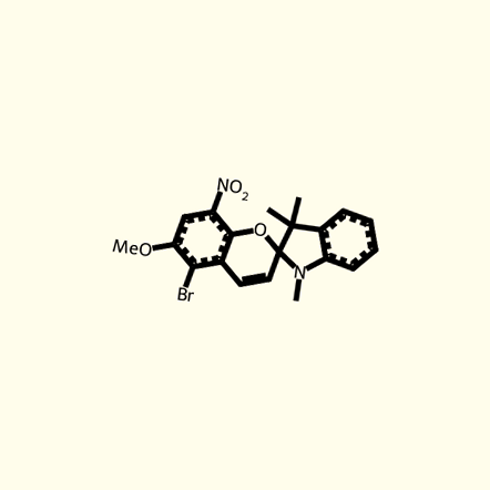 COc1cc([N+](=O)[O-])c2c(c1Br)C=CC1(O2)N(C)c2ccccc2C1(C)C